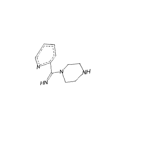 N=C(c1ccccn1)N1CCNCC1